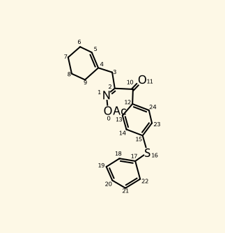 CC(=O)ON=C(CC1=CCCCC1)C(=O)c1ccc(Sc2ccccc2)cc1